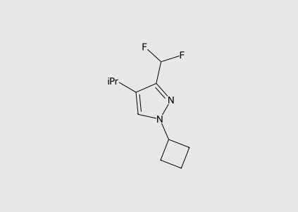 CC(C)c1cn(C2CCC2)nc1C(F)F